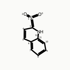 O=S(=O)=c1ccc2ccccc2[nH]1